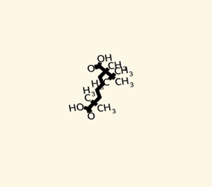 CC(C)(CCCCC(C)(C(=O)O)C(C)(C)C)C(=O)O